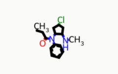 CCCC(=O)N(c1ccccc1)C1CC(Cl)CC1NC